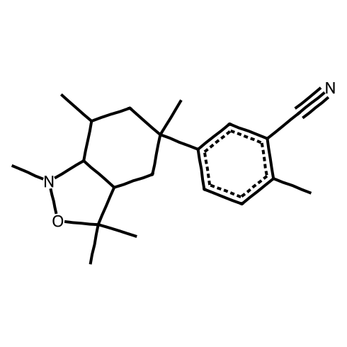 Cc1ccc(C2(C)CC(C)C3C(C2)C(C)(C)ON3C)cc1C#N